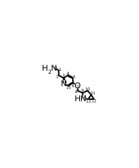 NCCc1ccc(OCC2CC3CC3N2)cn1